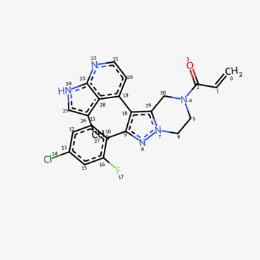 C=CC(=O)N1CCn2nc(-c3ccc(Cl)cc3F)c(-c3ccnc4[nH]cc(C)c34)c2C1